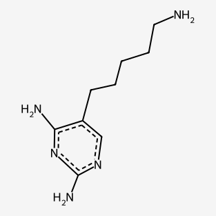 NCCCCCc1cnc(N)nc1N